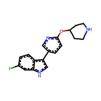 Fc1ccc2c(-c3ccc(OC4CCNCC4)nc3)c[nH]c2c1